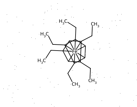 CC[C]12[CH]3[C]4(CC)[C]5(CC)[CH]1[Fe]32451678[CH]2[CH]1[C]6(CC)[C]7(CC)[C]28CC